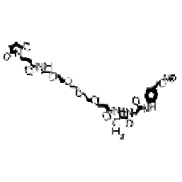 CC(NC(=O)CCOCCOCCOCCOCCNC(=O)CCN1C(=O)C=CC1=O)C(=O)NCC(=O)Nc1ccc(CON=O)cc1